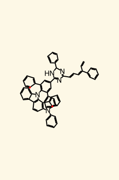 C=C/C(=C\C=C\C1=NC(c2ccccc2)NC(c2cc(-c3ccccc3)c(-n3c4ccccc4c4ccc5c(c6ccccc6n5-c5ccccc5)c43)c(-c3ccccc3)c2)=N1)c1ccccc1